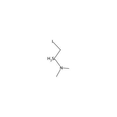 CN(C)[SiH2]CI